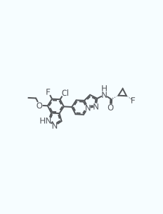 CCOc1c(F)c(Cl)c(-c2ccn3nc(NC(=O)[C@@H]4C[C@@H]4F)cc3c2)c2cn[nH]c12